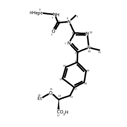 CCCCCCCNC(=O)N(C)c1nc(-c2ccc(C[C@H](OCC)C(=O)O)cc2)n(C)n1